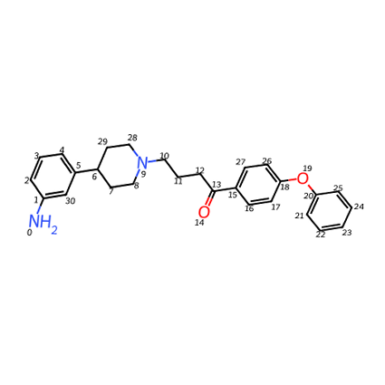 Nc1cccc(C2CCN(CCCC(=O)c3ccc(Oc4ccccc4)cc3)CC2)c1